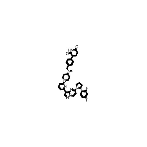 CN(Cc1ccc(C2CCC(=O)NC2=O)cc1)C1CCN(c2cccc(-c3cnn4ccc(N5CCC[C@@H]5c5ccc(F)cc5F)nc34)n2)CC1